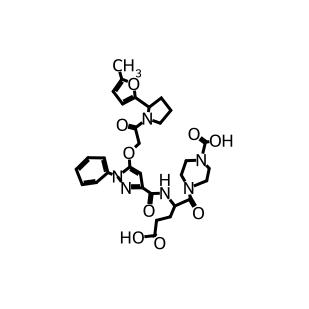 Cc1ccc(C2CCCN2C(=O)COc2cc(C(=O)NC(CCC(=O)O)C(=O)N3CCN(C(=O)O)CC3)nn2-c2ccccc2)o1